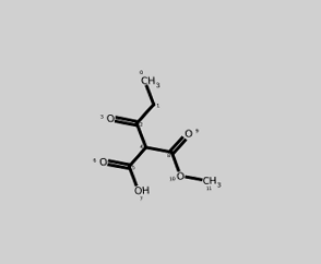 CCC(=O)C(C(=O)O)C(=O)OC